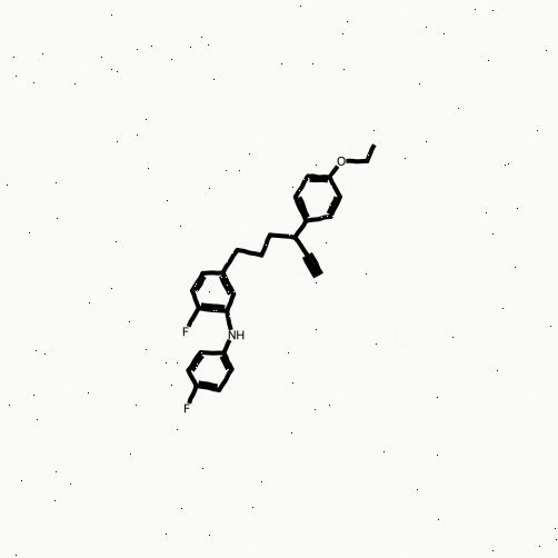 C#CC(CCCc1ccc(F)c(Nc2ccc(F)cc2)c1)c1ccc(OCC)cc1